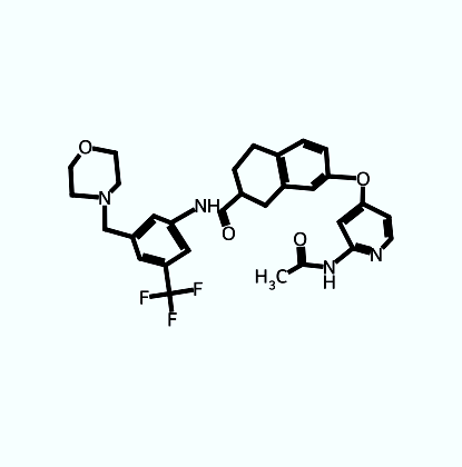 CC(=O)Nc1cc(Oc2ccc3c(c2)CC(C(=O)Nc2cc(CN4CCOCC4)cc(C(F)(F)F)c2)CC3)ccn1